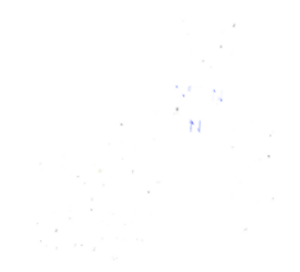 c1ccc(-c2cccc(-c3nc(-c4ccccc4)nc(-c4cccc(-c5cccc6c5Sc5ccccc5C65c6ccccc6-c6ccccc65)c4)n3)c2)cc1